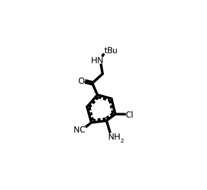 CC(C)(C)NCC(=O)c1cc(Cl)c(N)c(C#N)c1